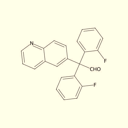 O=CC(c1ccc2ncccc2c1)(c1ccccc1F)c1ccccc1F